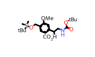 COc1cc(C(CNC(=O)OC(C)(C)C)C(=O)O)ccc1CO[Si](C)(C)C(C)(C)C